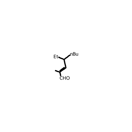 CCCCC(/C=C(\C)C=O)CC